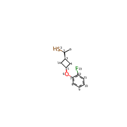 CC(S)[C@H]1C[C@@H](Oc2ccccc2F)C1